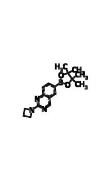 CC1(C)OB(c2ccc3nc(N4CCC4)ncc3c2)OC1(C)C